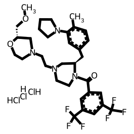 COC[C@@H]1CN(CCN2CCN(C(=O)c3cc(C(F)(F)F)cc(C(F)(F)F)c3)[C@H](Cc3ccc(C)c(N4CCCC4)c3)C2)CCO1.Cl.Cl.Cl